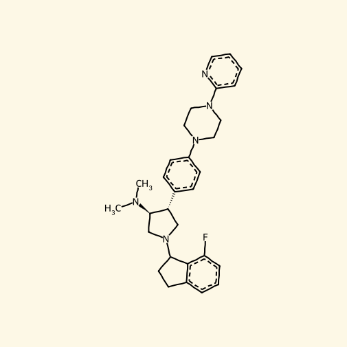 CN(C)[C@@H]1CN(C2CCc3cccc(F)c32)C[C@H]1c1ccc(N2CCN(c3ccccn3)CC2)cc1